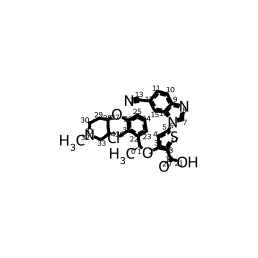 C[C@@H](Oc1cc(-n2cnc3ccc(C#N)cc32)sc1C(=O)O)c1cccc(OC2CCN(C)CC2)c1Cl